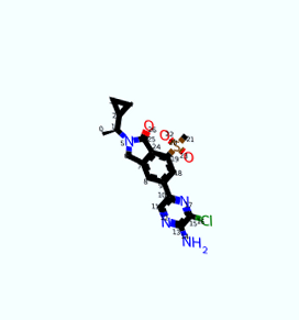 C[C@@H](C1CC1)N1Cc2cc(-c3cnc(N)c(Cl)n3)cc(S(C)(=O)=O)c2C1=O